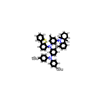 Cc1cc2c3c(c1)N1c4c(cccc4C4(C)CCCCC14C)B3c1ccc(N(c3ccc(C(C)(C)C)cc3)c3ccc(C(C)(C)C)cc3)cc1N2c1cccc2c1sc1ccccc12